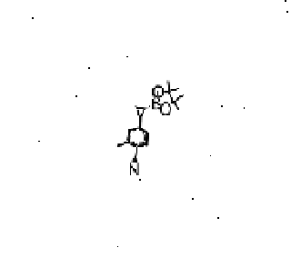 Cc1cc(C2C[C@@H]2B2OC(C)(C)C(C)(C)O2)ccc1C#N